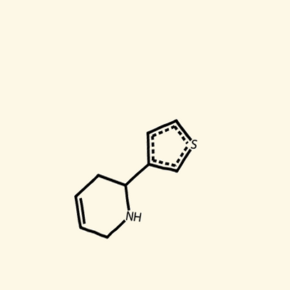 C1=CCC(c2ccsc2)NC1